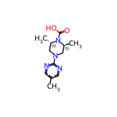 Cc1cnc(N2C[C@H](C)N(C(=O)O)[C@@H](C)C2)nc1